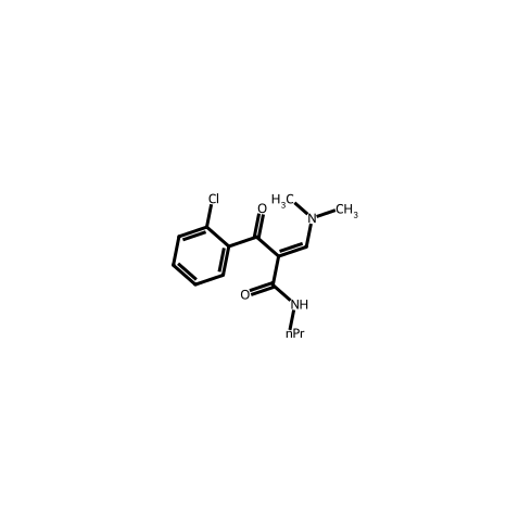 CCCNC(=O)/C(=C/N(C)C)C(=O)c1ccccc1Cl